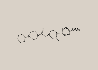 COc1ccc(N2CCN(CC(=O)N3CCN(C4CCCCC4)CC3)CC2C)cc1